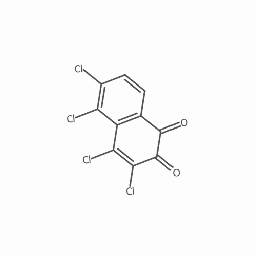 O=C1C(=O)c2ccc(Cl)c(Cl)c2C(Cl)=C1Cl